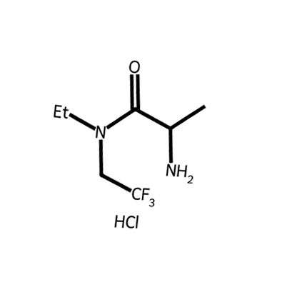 CCN(CC(F)(F)F)C(=O)C(C)N.Cl